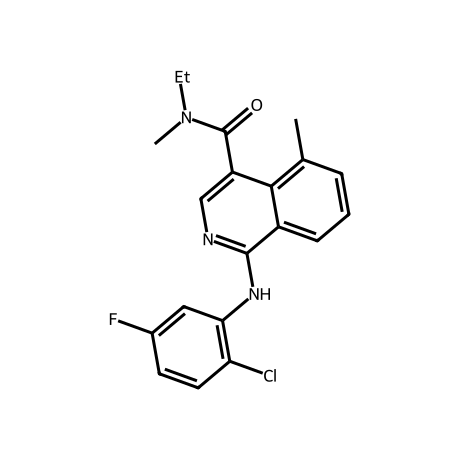 CCN(C)C(=O)c1cnc(Nc2cc(F)ccc2Cl)c2cccc(C)c12